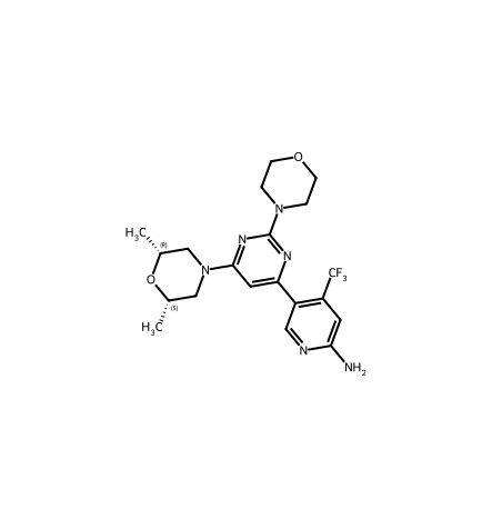 C[C@@H]1CN(c2cc(-c3cnc(N)cc3C(F)(F)F)nc(N3CCOCC3)n2)C[C@H](C)O1